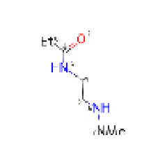 CCC(=O)NCCNNC